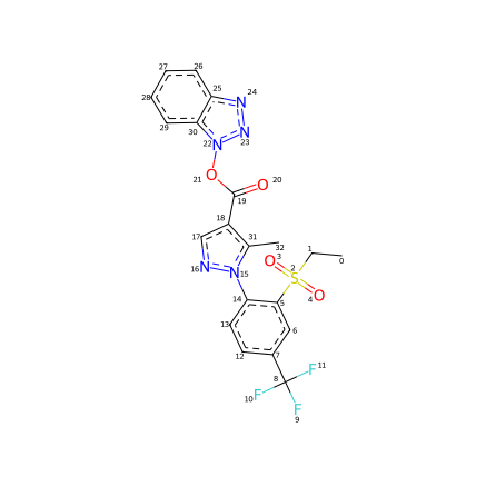 CCS(=O)(=O)c1cc(C(F)(F)F)ccc1-n1ncc(C(=O)On2nnc3ccccc32)c1C